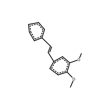 COc1ccc(C=Cc2ccccc2)cc1OC